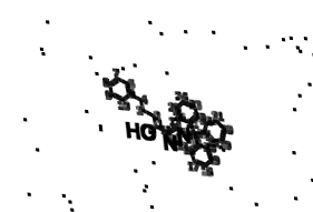 OC(CCCc1ccccc1)c1cn(C(c2ccccc2)(c2ccccc2)c2ccccc2)cn1